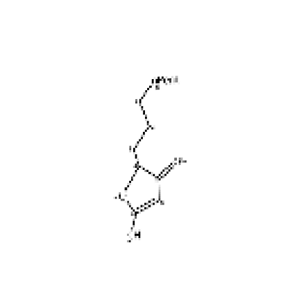 CCCCCCCCC1OC(C)=CC1=O